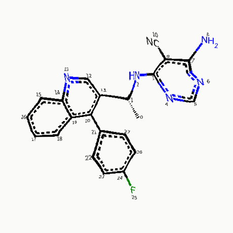 C[C@@H](Nc1ncnc(N)c1C#N)c1cnc2ccccc2c1-c1ccc(F)cc1